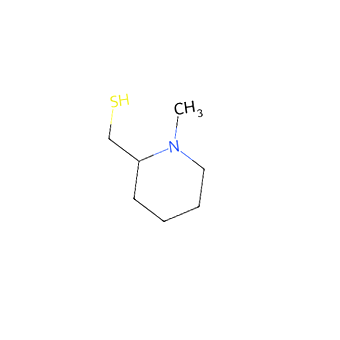 CN1CCCCC1CS